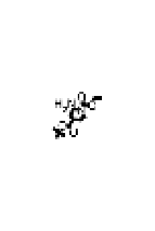 CCOC(=O)N1CCC(C(=O)OC(C)(C)C)CC1N